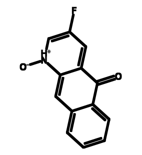 O=C1C2=CC(F)=C[NH+]([O-])C2=Cc2ccccc21